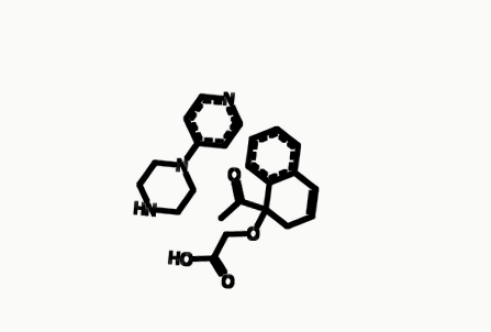 CC(=O)C1(OCC(=O)O)CC=Cc2ccccc21.c1cc(N2CCNCC2)ccn1